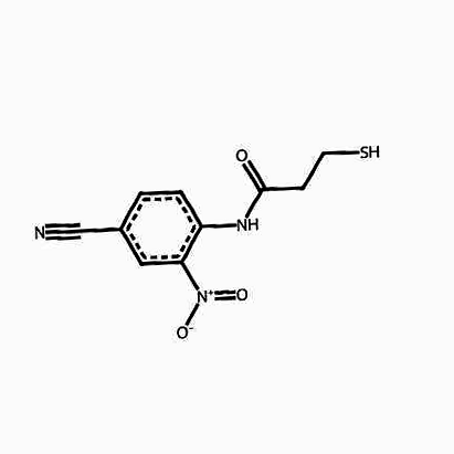 N#Cc1ccc(NC(=O)CCS)c([N+](=O)[O-])c1